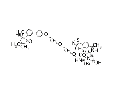 Cc1ccc(-c2ccc(OCCOCCOCCOCCOCC(=O)N[C@H](C(=O)N3C[C@H](O)C[C@H]3C(=O)N[C@@H](C)c3ccc(-c4scnc4C)cc3)C(C)(C)C)cc2)cc1C1=C(O)CC(C)(C)CC1=O